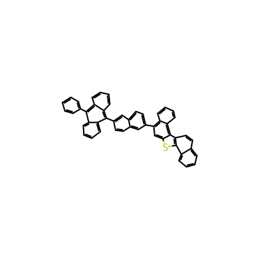 c1ccc(-c2c3ccccc3c(-c3ccc4cc(-c5cc6sc7c8ccccc8ccc7c6c6ccccc56)ccc4c3)c3ccccc23)cc1